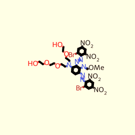 COC=Nc1c(/N=N/c2c(Br)cc([N+](=O)[O-])cc2[N+](=O)[O-])ccc(N(CCOCCO)CCOCCOCCO)c1/N=N/c1c(Br)cc([N+](=O)[O-])cc1[N+](=O)[O-]